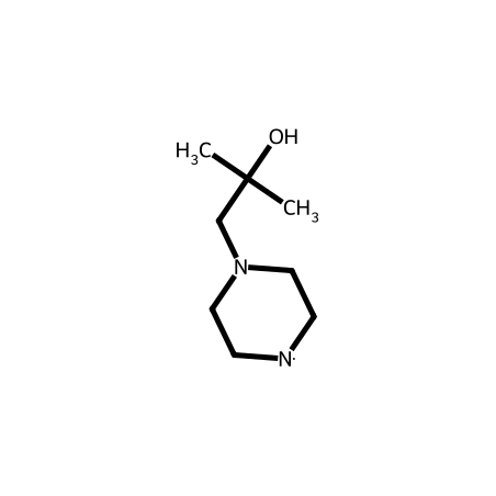 CC(C)(O)CN1CC[N]CC1